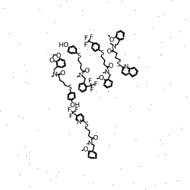 CN(Cc1cccc2c1OCO2)C(=O)CCCSc1ccc(O)cc1.CN(Cc1ccccc1C(F)(F)F)C(=O)CCCSc1ccc(O)cc1.COc1ccccc1CN(C)C(=O)CCCSc1ccc(C(F)(F)F)cc1.COc1ccccc1CN(C)C(=O)CCCSc1ccc(C(F)(F)F)cn1.COc1ccccc1CN(C)C(=O)CCCSc1ccc2ccccc2n1